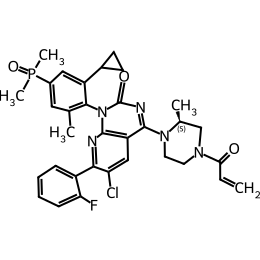 C=CC(=O)N1CCN(c2nc(=O)n(-c3c(C)cc(P(C)(C)=O)cc3C3CC3)c3nc(-c4ccccc4F)c(Cl)cc23)[C@@H](C)C1